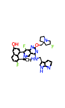 C#Cc1c(F)ccc2cc(O)cc(-c3ncc4c(NCc5c[nH]c6ncccc56)nc(OC[C@@]56CCCN5C[C@H](F)C6)nc4c3F)c12